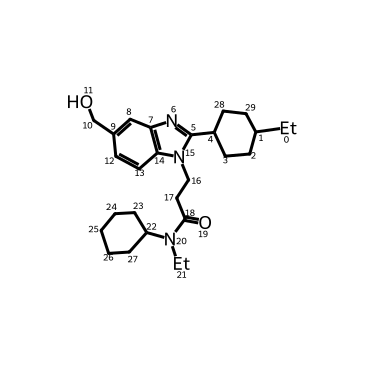 CCC1CCC(c2nc3cc(CO)ccc3n2CCC(=O)N(CC)C2CCCCC2)CC1